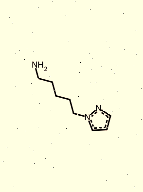 NCCCCCn1cccn1